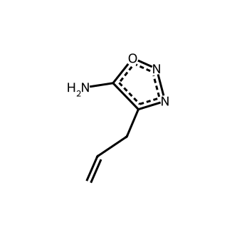 C=CCc1nnoc1N